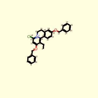 CCc1c(OCc2ccccc2)cc(Cl)[n+]2c1-c1ccc(OCc3ccccc3)cc1CC2